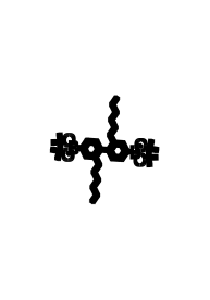 CCCCCCc1cc(B2OC(C)(C)C(C)(C)O2)ccc1-c1ccc(B2OC(C)(C)C(C)(C)O2)cc1CCCCCC